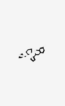 Clc1ccc(CC(O[C@H]2CCC[C@H](Cn3ccnc3)O2)c2cccs2)c(Cl)c1